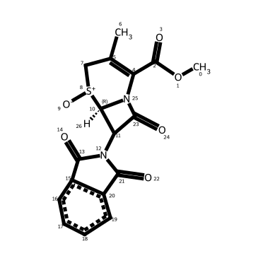 COC(=O)C1=C(C)C[S+]([O-])[C@@H]2C(N3C(=O)c4ccccc4C3=O)C(=O)N12